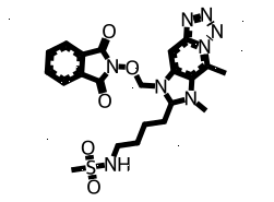 Cc1c2c(cc3nnnn13)N(CON1C(=O)c3ccccc3C1=O)C(CCCCNS(C)(=O)=O)N2C